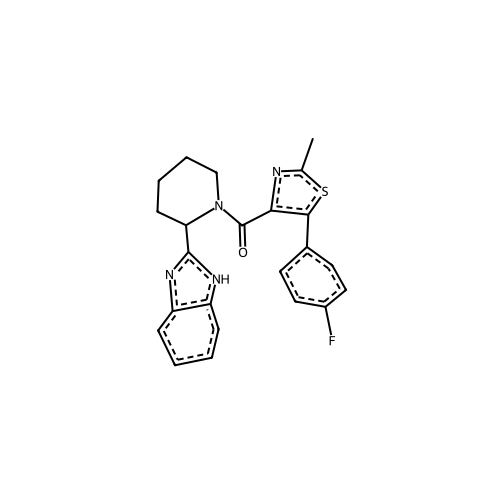 Cc1nc(C(=O)N2CCCCC2c2nc3ccccc3[nH]2)c(-c2ccc(F)cc2)s1